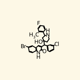 Cc1cc(F)ccc1C1CC(O)(C(c2cccc(Cl)c2)c2cc3cc(Br)ccc3[nH]c2=O)CCN1